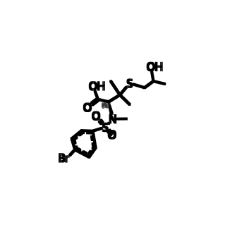 CC(O)CSC(C)(C)[C@H](C(=O)O)N(C)S(=O)(=O)c1ccc(Br)cc1